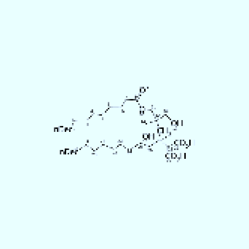 CCCCCCCCCCCCCCCCCC(=O)OCC(C)(CO)CO.CCCCCCCCCCCCCCCCCCCC(C(=O)O)C(=O)O